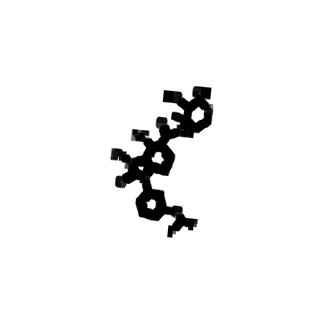 CC(C)n1c(=O)n(-c2cccc(OC(F)F)c2)c2ccc(C(=O)NC3(C)CCSC(O)C3O)c(C#N)c21